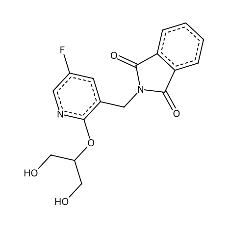 O=C1c2ccccc2C(=O)N1Cc1cc(F)cnc1OC(CO)CO